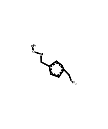 CCCONCc1ccc(CN)cc1